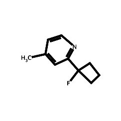 Cc1ccnc(C2(F)CCC2)c1